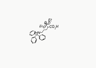 CCOP(=O)(OCC)C(CCCNC(c1ccccc1)(c1ccccc1)c1ccccc1)C(=O)O